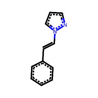 [c]1ccn(C=Cc2ccccc2)n1